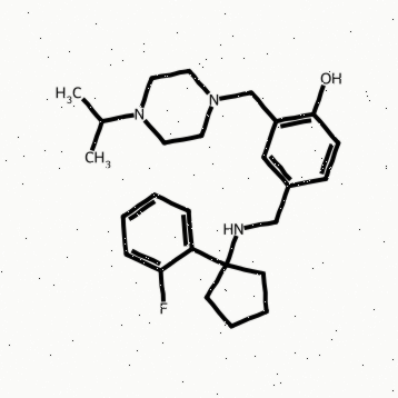 CC(C)N1CCN(Cc2cc(CNC3(c4ccccc4F)CCCC3)ccc2O)CC1